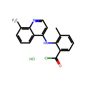 Cc1cccc(C(=O)Cl)c1Nc1ccnc2c(C(F)(F)F)cccc12.Cl